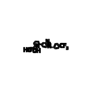 OC[C@@H](O)c1cccc(-c2ccc3c(c2)ncn3Cc2ccc(C(F)(F)F)cc2)n1